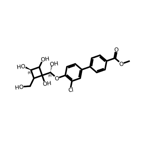 COC(=O)c1ccc(-c2ccc(O[C@@H](O)C3(O)C(O)[C@H](O)C3CO)c(Cl)c2)cc1